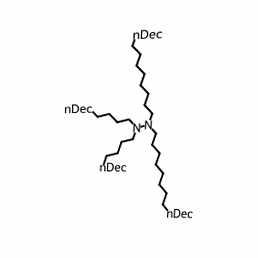 CCCCCCCCCCCCCCCCCCN(CCCCCCCCCCCCCCCCCC)N(CCCCCCCCCCCCCC)CCCCCCCCCCCCCC